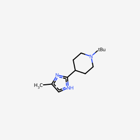 Cc1c[nH]c(C2CCN(C(C)(C)C)CC2)n1